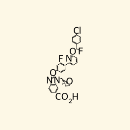 O=C(O)c1ccc2nc(Oc3ccc(-c4cccc(OC(F)c5ccc(Cl)cc5)n4)c(F)c3)n(C[C@@H]3CCO3)c2c1